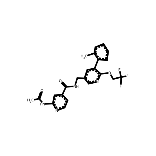 CC(=O)Nc1cc(C(=O)NCc2cnc(OCC(F)(F)F)c(-c3ccccc3C)c2)ccn1